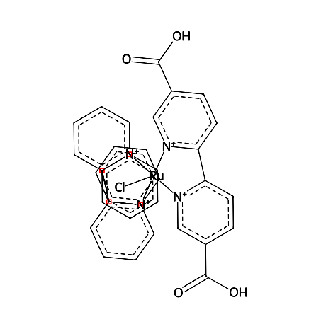 O=C(O)c1ccc2[n+](c1)[Ru]13([Cl])([n+]4ccccc4-c4cccc[n+]41)([n+]1ccccc1-c1cccc[n+]13)[n+]1cc(C(=O)O)ccc1-2